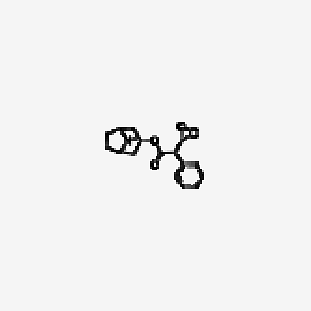 CN1C2CCC1CC(OC(=O)C(c1ccccc1)C1OO1)C2